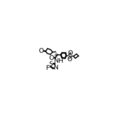 O=C1CCC(C[C@@H](C(=O)Nc2ncc(F)s2)c2ccc(S(=O)(=O)C3CCC3)cc2)CC1